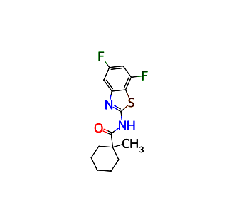 CC1(C(=O)Nc2nc3cc(F)cc(F)c3s2)CCCCC1